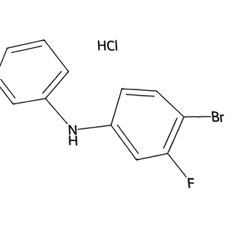 Cl.Fc1cc(Nc2ccccc2)ccc1Br